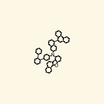 c1ccc(-c2ccccc2-c2ccc(N(c3ccc4c(-c5cc6ccccc6c6ccccc56)cccc4c3)c3cccc4oc5c6ccccc6ccc5c34)cc2)cc1